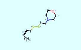 C/C=C\CSSCCN1CCOCC1